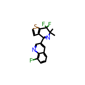 CC1(C)N=C(c2cnc3c(F)cccc3c2)c2ccsc2C1(F)F